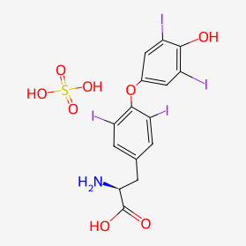 N[C@@H](Cc1cc(I)c(Oc2cc(I)c(O)c(I)c2)c(I)c1)C(=O)O.O=S(=O)(O)O